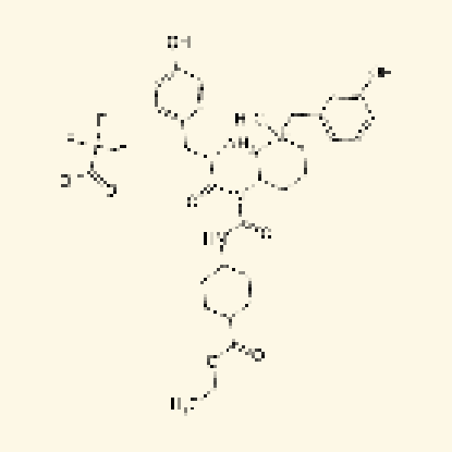 CCOC(=O)C1CCC(NC(=O)N(C(=O)[C@@H](N)Cc2ccc(O)cc2)[C@H]2CCC[N+](C)(Cc3cccc(O)c3)C2)CC1.O=C([O-])C(F)(F)F